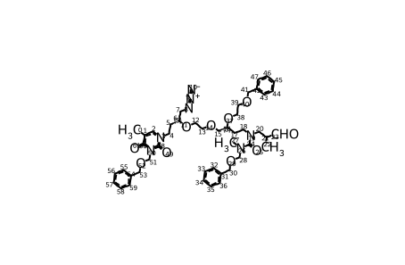 Cc1cn(CC[C@@H](CN=[N+]=[N-])OCCOC[C@H](CCN(CC(C)C=O)C(=O)N(C)COCc2ccccc2)OCCOCc2ccccc2)c(=O)n(COCc2ccccc2)c1=O